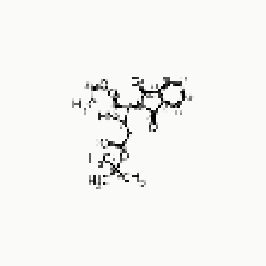 CC(C)(C)OC(=O)CC1NC(=O)C1N1C(=O)c2ccccc2C1=O.CC=O